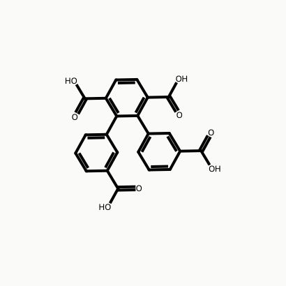 O=C(O)c1cccc(-c2c(C(=O)O)ccc(C(=O)O)c2-c2cccc(C(=O)O)c2)c1